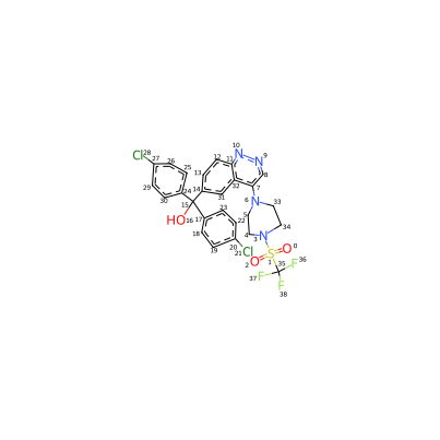 O=S(=O)(N1CCN(c2cnnc3ccc(C(O)(c4ccc(Cl)cc4)c4ccc(Cl)cc4)cc23)CC1)C(F)(F)F